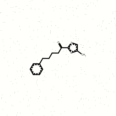 Cc1csc(C(=O)CCCCc2ccccc2)n1